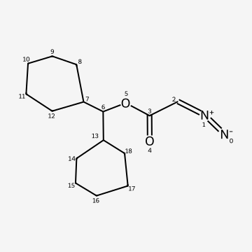 [N-]=[N+]=CC(=O)OC(C1CCCCC1)C1CCCCC1